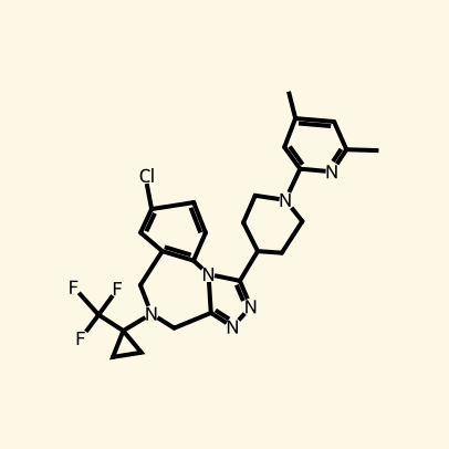 Cc1cc(C)nc(N2CCC(c3nnc4n3-c3ccc(Cl)cc3CN(C3(C(F)(F)F)CC3)C4)CC2)c1